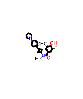 CN(C(=O)c1cc(F)c(O)c(C=O)c1)C12CC(c3ccc(N4CCCC4)cc3)(C1)C2